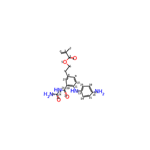 C=C(C)C(=O)OCCc1ccc(Nc2ccc(N)cc2)c(C(=O)NC(N)=O)c1